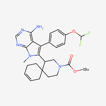 Cn1c(C2CN(C(=O)OC(C)(C)C)CCC23CC=CCC3)c(-c2ccc(OC(F)F)cc2)c2c(N)ncnc21